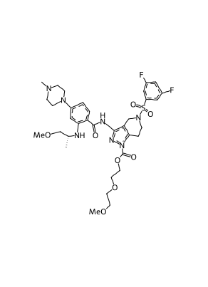 COCCOCCOC(=O)n1nc(NC(=O)c2ccc(N3CCN(C)CC3)cc2N[C@H](C)COC)c2c1CCN(S(=O)(=O)c1cc(F)cc(F)c1)C2